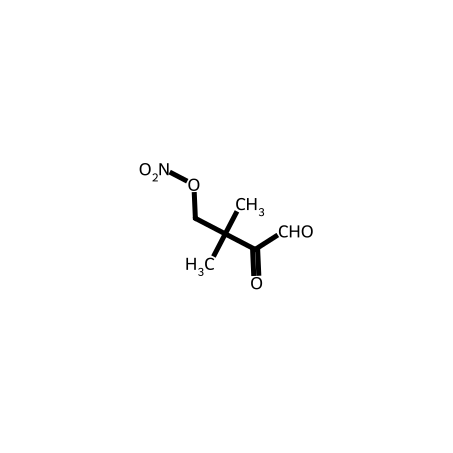 CC(C)(CO[N+](=O)[O-])C(=O)C=O